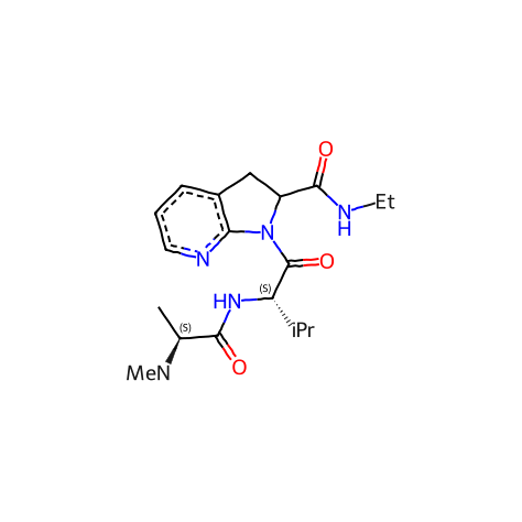 CCNC(=O)C1Cc2cccnc2N1C(=O)[C@@H](NC(=O)[C@H](C)NC)C(C)C